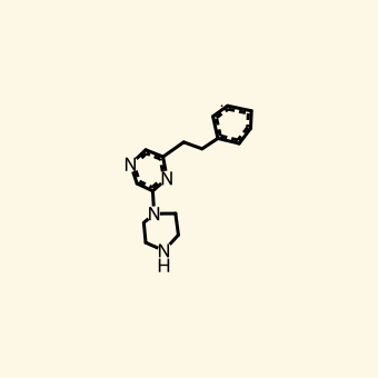 [c]1cccc(CCc2cncc(N3CCNCC3)n2)c1